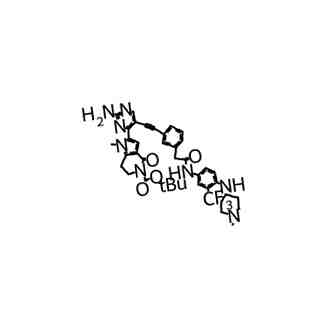 CN1CCC(Nc2ccc(NC(=O)Cc3cccc(C#Cc4cnc(N)nc4-c4cc5c(n4C)CCN(C(=O)OC(C)(C)C)C5=O)c3)cc2C(F)(F)F)CC1